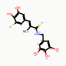 N#C/C(=C\c1cc(O)c(O)c(F)c1)C(=S)NCc1cc(O)c(O)c(O)c1